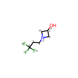 OC1CN(CCC(F)(F)F)C1